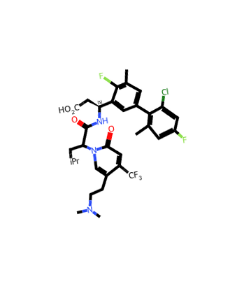 Cc1cc(-c2c(C)cc(F)cc2Cl)cc([C@H](CC(=O)O)NC(=O)C(CC(C)C)n2cc(CCN(C)C)c(C(F)(F)F)cc2=O)c1F